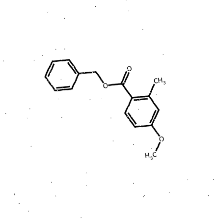 COc1ccc(C(=O)OCc2ccccc2)c(C)c1